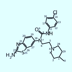 CC1CCN(CCN(C(=O)Nc2ccc(Cl)cc2)c2ccc3nc(N)sc3c2)CC1